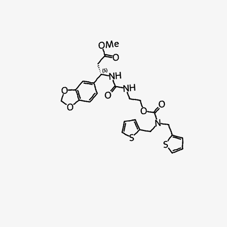 COC(=O)C[C@H](NC(=O)NCCOC(=O)N(Cc1cccs1)Cc1cccs1)c1ccc2c(c1)OCO2